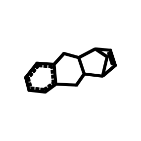 C1=CC2CC1C1Cc3ccccc3CC21